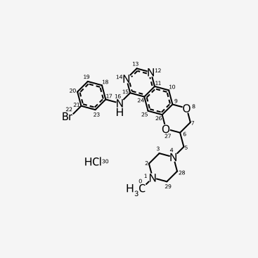 CN1CCN(CC2COc3cc4ncnc(Nc5cccc(Br)c5)c4cc3O2)CC1.Cl